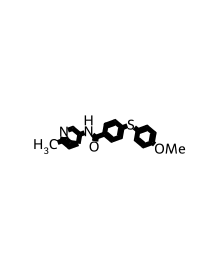 COc1ccc(Sc2ccc(C(=O)NC3CN4CCC3CC4C)cc2)cc1